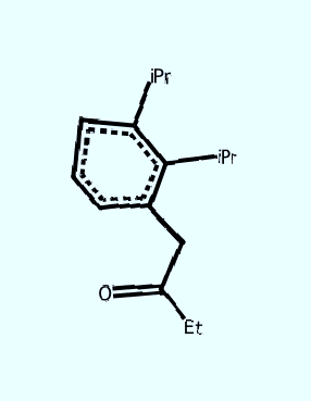 CCC(=O)Cc1cccc(C(C)C)c1C(C)C